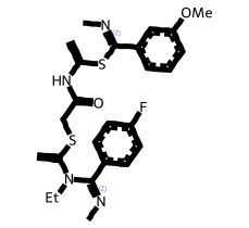 C=C(NC(=O)CSC(=C)N(CC)/C(=N\C)c1ccc(F)cc1)S/C(=N\C)c1cccc(OC)c1